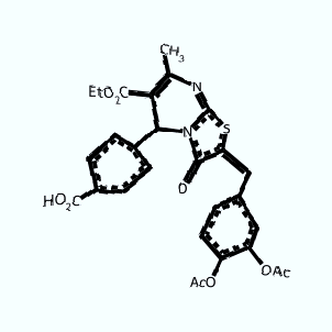 CCOC(=O)C1=C(C)N=c2sc(=Cc3ccc(OC(C)=O)c(OC(C)=O)c3)c(=O)n2C1c1ccc(C(=O)O)cc1